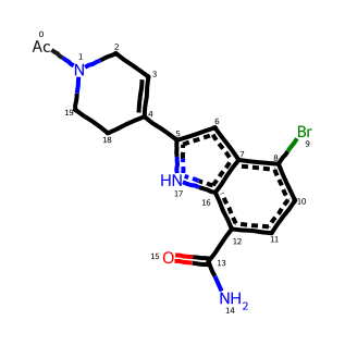 CC(=O)N1CC=C(c2cc3c(Br)ccc(C(N)=O)c3[nH]2)CC1